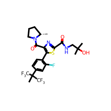 C[C@H]1CCCN1C(=O)c1nc(C(=O)NCC(C)(C)O)sc1-c1ccc(C(C)(C(F)(F)F)C(F)(F)F)cc1F